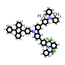 Cc1ccccc1N(c1ccc(-c2ccc3c(c2)c2cc(-c4ccc(N(c5ccccc5C(F)(F)F)c5ccccc5C(F)(F)F)cc4)ccc2n3-c2ccc(-c3c4ccccc4c(-c4ccccc4)c4ccccc34)cc2)cc1)c1ccccc1C